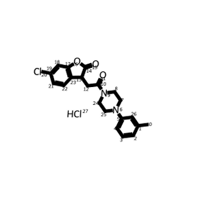 Cc1cccc(N2CCN(C(=O)CC3C(=O)Oc4cc(Cl)ccc43)CC2)c1.Cl